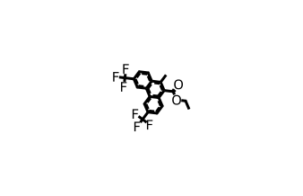 CCOC(=O)c1c(C)c2ccc(C(F)(F)F)cc2c2cc(C(F)(F)F)ccc12